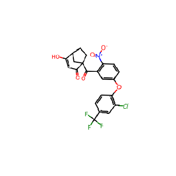 O=C1C=C(O)C2CCC1(C(=O)c1cc(Oc3ccc(C(F)(F)F)cc3Cl)ccc1[N+](=O)[O-])C2